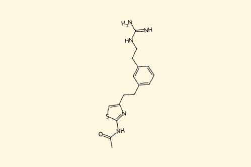 CC(=O)Nc1nc(CCc2cccc(CCNC(=N)N)c2)cs1